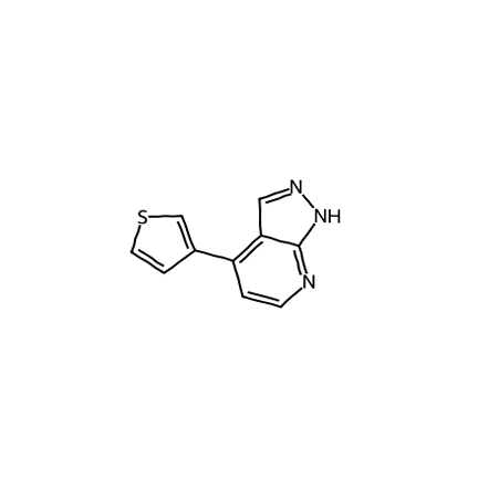 c1cc(-c2ccsc2)c2cn[nH]c2n1